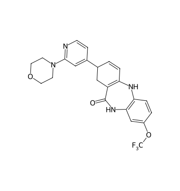 O=C1Nc2cc(OC(F)(F)F)ccc2NC2=C1CC(c1ccnc(N3CCOCC3)c1)C=C2